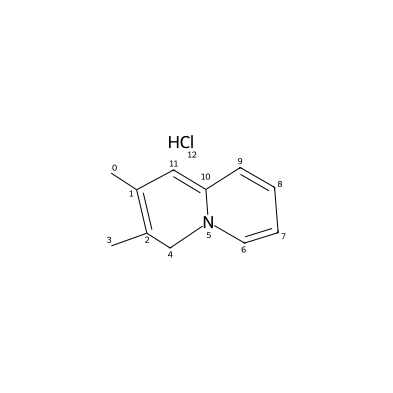 CC1=C(C)CN2C=CC=CC2=C1.Cl